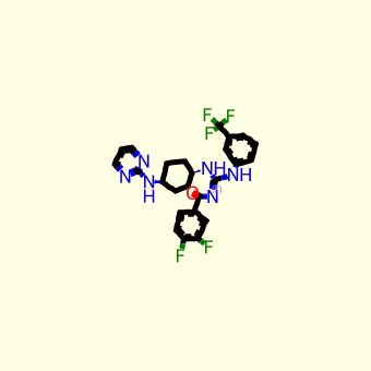 O=C(/N=C(/Nc1cccc(C(F)(F)F)c1)N[C@H]1CC[C@H](Nc2ncccn2)CC1)c1ccc(F)c(F)c1